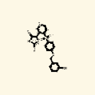 Cc1cccc(COc2ccc(S(=O)(=O)c3ccncc3C3NC(=O)NC3=O)cc2)c1